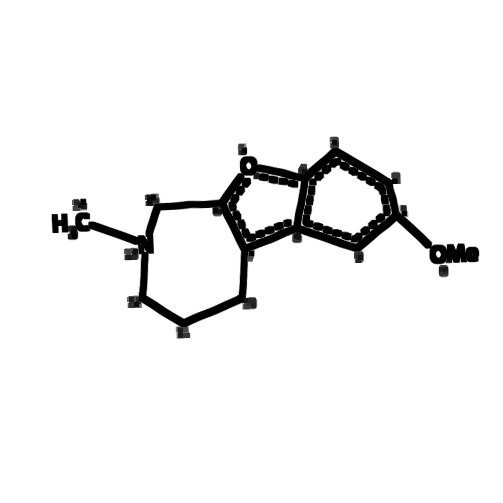 COc1ccc2oc3c(c2c1)CCCN(C)C3